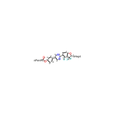 CCCCCCCC1Oc2ccc(-c3ncc(-c4ccc(OC(=O)CCCCC)cc4)cn3)c(F)c2C1(F)F